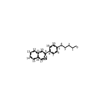 CCCC[CH]c1ccc(-c2cc3ccccc3cn2)cc1